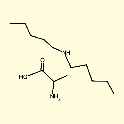 CC(N)C(=O)O.CCCCCNCCCCC